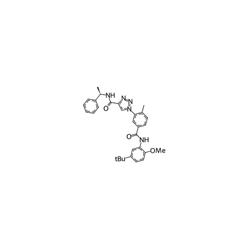 COc1ccc(C(C)(C)C)cc1NC(=O)c1ccc(C)c(-n2cc(C(=O)N[C@H](C)c3ccccc3)nn2)c1